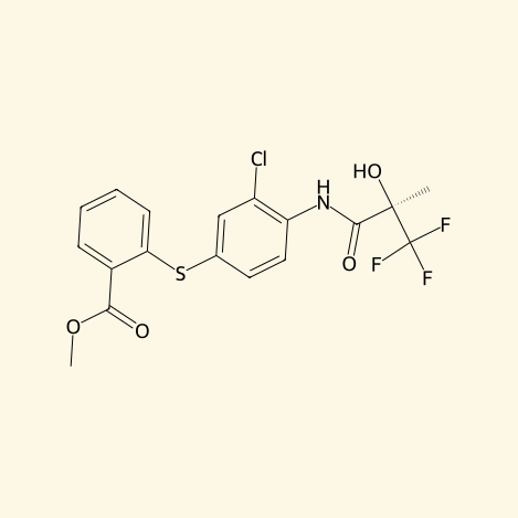 COC(=O)c1ccccc1Sc1ccc(NC(=O)[C@@](C)(O)C(F)(F)F)c(Cl)c1